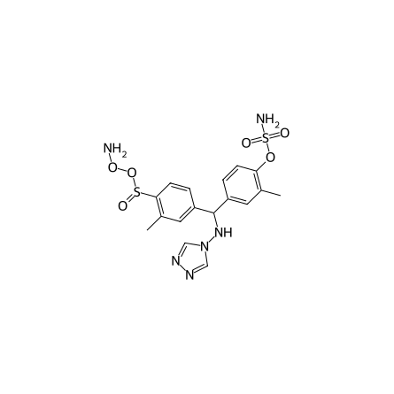 Cc1cc(C(Nn2cnnc2)c2ccc(S(=O)OON)c(C)c2)ccc1OS(N)(=O)=O